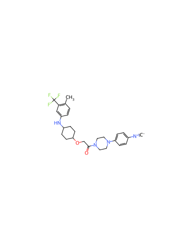 [C-]#[N+]c1ccc(N2CCN(C(=O)COC3CCC(Nc4ccc(C)c(C(F)(F)F)c4)CC3)CC2)cc1